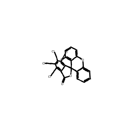 O=C1OC2(c3ccccc3Oc3cccc(Cl)c32)c2c(Cl)c(Cl)c(Cl)c(Cl)c21